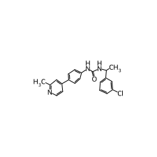 Cc1cc(-c2ccc(NC(=O)NC(C)c3cccc(Cl)c3)cc2)ccn1